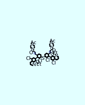 CCOc1c(-c2c(/C=C/C(=O)N3CCN(C(C)=O)CC3)ccc(Sc3ccc(/C=C/C(=O)N4CCN(C(C)=O)CC4)c(-c4cc(Cl)c5cccnc5c4OCC)c3Cl)c2Cl)cc(Cl)c2cccnc12